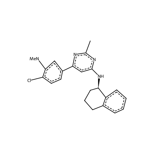 CNc1cc(-c2cc(N[C@@H]3CCCc4ccccc43)nc(C)n2)ccc1Cl